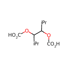 CC(C)C(OC(=O)O)C(OC(=O)O)C(C)C